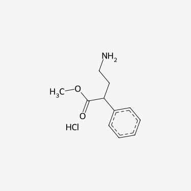 COC(=O)C(CCN)c1ccccc1.Cl